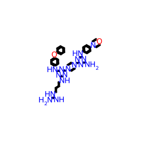 N=C(N)NCCCCNc1nc(Nc2ccc(Oc3ccccc3)cc2)nc(N2CCN(c3nc(N)nc(Nc4ccc(N5CCOCC5)cc4)n3)CC2)n1